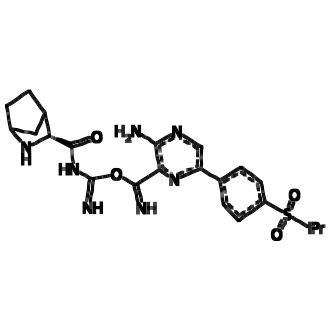 CC(C)S(=O)(=O)c1ccc(-c2cnc(N)c(C(=N)OC(=N)NC(=O)[C@H]3NC4CCC3C4)n2)cc1